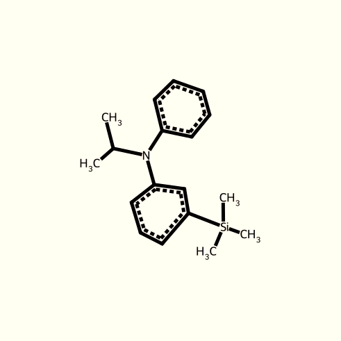 CC(C)N(c1ccccc1)c1cccc([Si](C)(C)C)c1